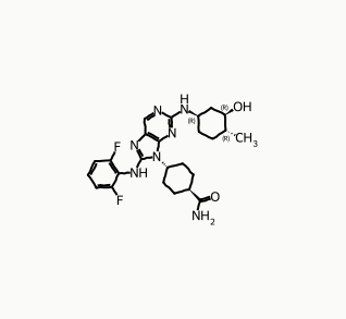 C[C@@H]1CC[C@@H](Nc2ncc3nc(Nc4c(F)cccc4F)n([C@H]4CC[C@H](C(N)=O)CC4)c3n2)C[C@H]1O